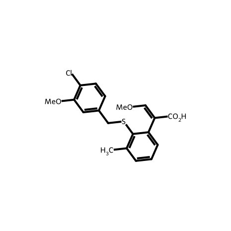 CO/C=C(/C(=O)O)c1cccc(C)c1SCc1ccc(Cl)c(OC)c1